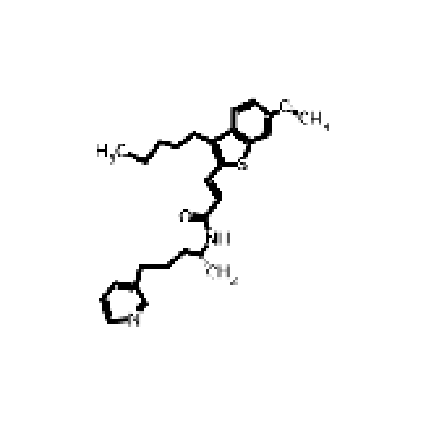 CCCCCc1c(/C=C/C(=O)N[C@H](C)CCCc2cccnc2)sc2cc(OC)ccc12